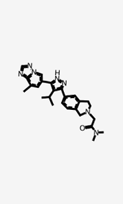 Cc1cc(-c2[nH]nc(-c3ccc4c(c3)CCN(CC(=O)N(C)C)C4)c2C(C)C)cn2ncnc12